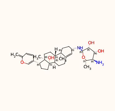 C=C1C=CC([C@H]2CC[C@]3(O)[C@@H]4CCC5=C[C@@H](N[C@@H]6O[C@@H](C)[C@H](N)[C@@H](O)[C@H]6O)CC[C@]5(C)[C@H]4CC[C@]23C)=CO1